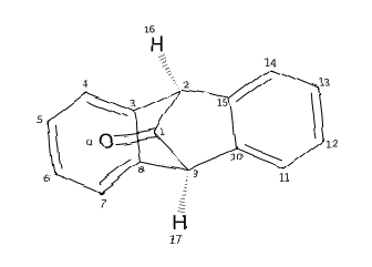 O=C1[C@H]2c3ccccc3[C@@H]1c1ccccc12